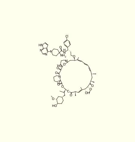 CO[C@@H]1C[C@@H](CC(C)[C@@H]2CC(=O)[C@H](C)/C=C(\C)[C@@H](O)[C@@H](OC)C(=O)[C@H](C)C[C@H](C)/C=C/C=C/C=C(/C)[C@H](OCC[C@H](NC(=O)C3(N)CCN(c4ncnc5[nH]ccc45)CC3)c3ccc(Cl)cc3)C[C@@H]3CC[C@@H](C)[C@@](O)(O3)C(=O)C(=O)N3CCCC[C@H]3C(=O)O2)CC[C@H]1O